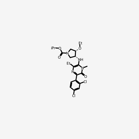 CCO[C@H]1CN(C(=O)OC(C)C)C[C@H]1Nc1c(CC)nc(-c2ccc(Cl)cc2Cl)c(=O)n1C